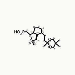 CC1(C)COC(C)(CCC2CCCC(CCC(=O)O)C2=C[Si](C)(C)C)OC1